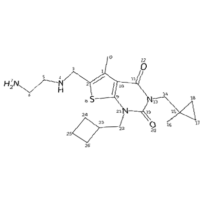 Cc1c(CNCCN)sc2c1c(=O)n(CC1(C)CC1)c(=O)n2CC1CCC1